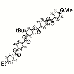 CCc1ccc(C(=O)Oc2ccc(C(=O)Oc3ccc(OC(=O)c4ccc(OC(=O)c5ccc(OC)cc5)cc4)cc3C(C)(C)C)cc2)cc1